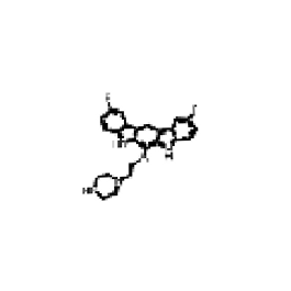 Fc1ccc2[nH]c3c(OCCN4CCNCC4)c4[nH]c5ccc(F)cc5c4cc3c2c1